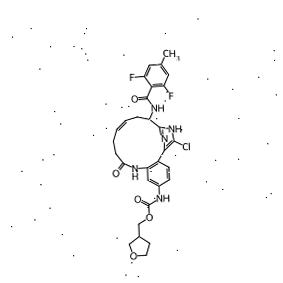 Cc1cc(F)c(C(=O)NC2CC=CCCC(=O)Nc3cc(NC(=O)OCC4CCOC4)ccc3-c3nc2[nH]c3Cl)c(F)c1